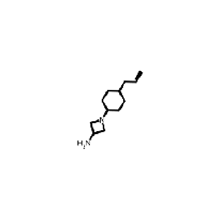 C=CCC1CCC(N2CC(N)C2)CC1